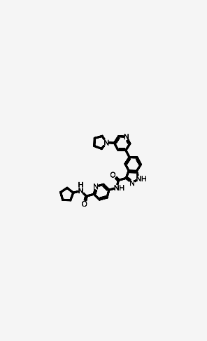 O=C(NC1CCCC1)c1ccc(NC(=O)c2n[nH]c3ccc(-c4cncc(N5CCCC5)c4)cc23)cn1